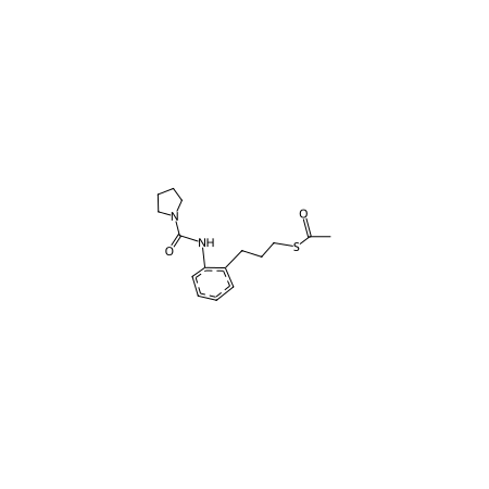 CC(=O)SCCCc1ccccc1NC(=O)N1CCCC1